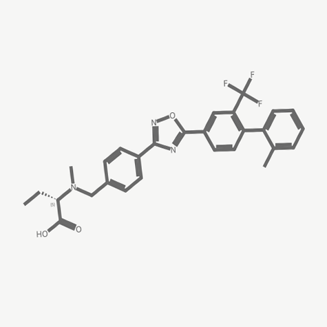 CC[C@@H](C(=O)O)N(C)Cc1ccc(-c2noc(-c3ccc(-c4ccccc4C)c(C(F)(F)F)c3)n2)cc1